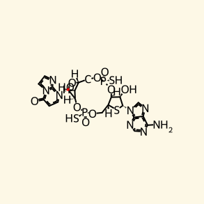 Nc1ncnc2c1ncn2[C@@H]1S[C@@H]2CO[P@@](=O)(S)O[C@@H]3[C@H](O)[C@@H](CO[P@](=O)(S)O[C@H]2[C@H]1O)O[C@H]3n1ccc(=O)n2ccnc12